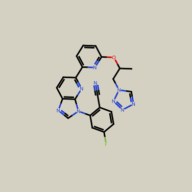 CC(Cn1cnnn1)Oc1cccc(-c2ccc3ncn(-c4cc(F)ccc4C#N)c3n2)n1